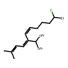 CCCC(CCC)C(/C=C\CCCC(F)CC)=C/C=C(C)C